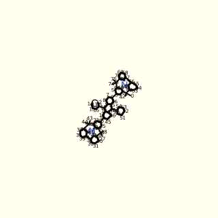 CC1(C)c2cc(-c3ccc4c(-c5ccccc5)c5cc(-c6cc7c8c(c6)C(C)(C)c6cccc9c%10cccc(c%10n-8c69)C7(C)C)ccc5c(-c5ccccc5)c4c3)cc3c2-n2c4c1cccc4c1cccc(c12)C3(C)C